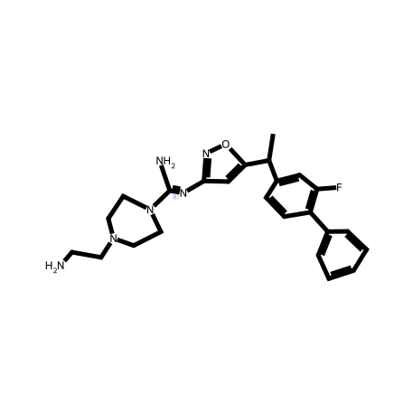 CC(c1ccc(-c2ccccc2)c(F)c1)c1cc(/N=C(\N)N2CCN(CCN)CC2)no1